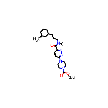 C=C1CCCC(CCCN(C)C(=O)c2ccc(N3CCN(C(=O)OC(C)(C)C)CC3)nn2)C1